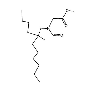 CCCCCCC(C)(CCCC)CN(C=O)CC(=O)OC